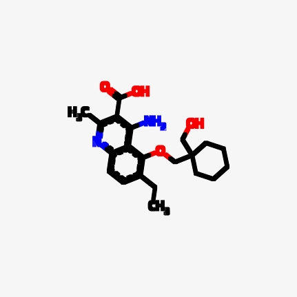 CCc1ccc2nc(C)c(C(=O)O)c(N)c2c1OCC1(CO)CCCCC1